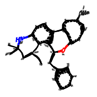 COc1ccc2c(c1)-c1ccc3c(c1/C(=C/c1ccccc1)O2)C(C)=CC(C)(C)N3